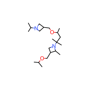 CC(C)OCC1CN(C(C)(C)CC(C)OCC2CN(C(C)C)C2)C1C